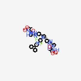 COC(=O)NC(C(=O)N1CCC[C@H]1c1nc2cc([C@H]3CC[C@H](c4ccc5[nH]c([C@@H]6CCCN6C(=O)[C@@H](NC(=O)OC)C(C)C)nc5c4)N3c3cc(F)c(N4CCC(c5ccccc5)(c5ccccc5)CC4)c(F)c3)ccc2[nH]1)C(C)C